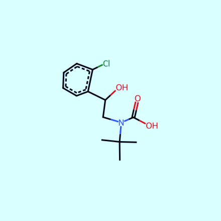 CC(C)(C)N(CC(O)c1ccccc1Cl)C(=O)O